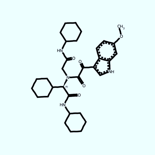 COc1ccc2c(C(=O)C(=O)N(CC(=O)NC3CCCCC3)[C@@H](C(=O)NC3CCCCC3)C3CCCCC3)c[nH]c2c1